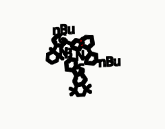 CCCCc1ccc(N2c3cc(C)cc4c3B(c3ccc5c(sc6cc7c(cc65)C(C)(C)CCC7(C)C)c32)N2c3c-4cc(CCCC)cc3C3(C)CCCCC23C)c(-c2ccccc2)c1